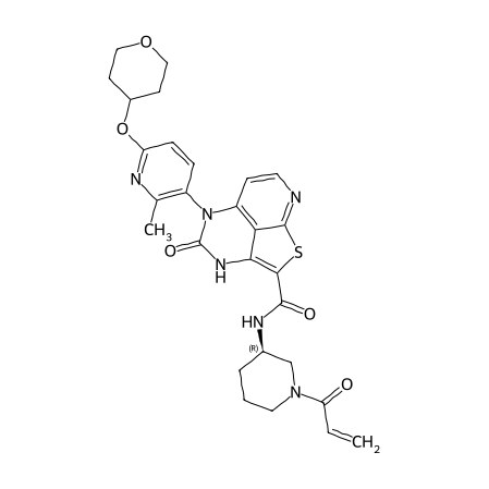 C=CC(=O)N1CCC[C@@H](NC(=O)c2sc3nccc4c3c2NC(=O)N4c2ccc(OC3CCOCC3)nc2C)C1